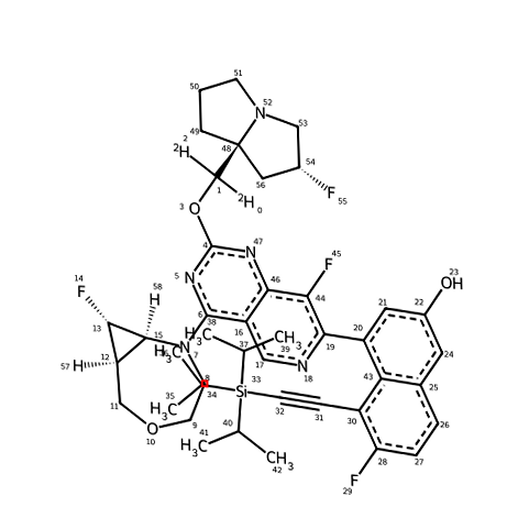 [2H]C([2H])(Oc1nc(N2CCOC[C@H]3[C@H](F)[C@H]32)c2cnc(-c3cc(O)cc4ccc(F)c(C#C[Si](C(C)C)(C(C)C)C(C)C)c34)c(F)c2n1)[C@@]12CCCN1C[C@H](F)C2